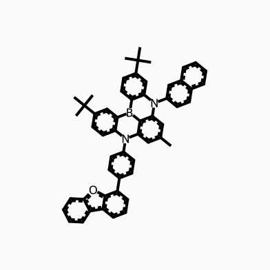 Cc1cc2c3c(c1)N(c1ccc4ccccc4c1)c1cc(C(C)(C)C)ccc1B3c1cc(C(C)(C)C)ccc1N2c1ccc(-c2cccc3c2oc2ccccc23)cc1